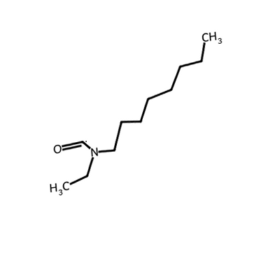 CCCCCCCCN([C]=O)CC